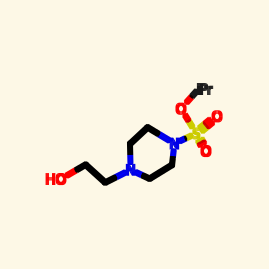 CC(C)OS(=O)(=O)N1CCN(CCO)CC1